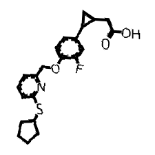 O=C(O)CC1CC1c1ccc(OCc2cccc(SC3CCCC3)n2)c(F)c1